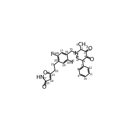 CC1C(=O)C(=O)C(c2ccccc2)SN1Cc1cc(F)c(CCc2cc(=O)[nH]o2)cc1F